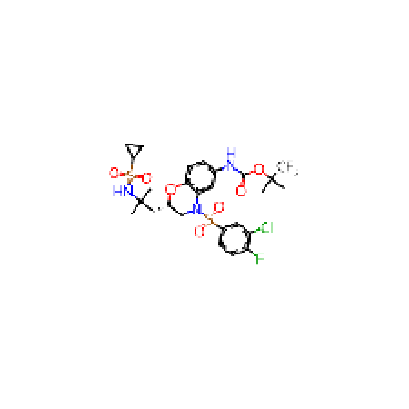 CC(C)(C[C@H]1CN(S(=O)(=O)c2ccc(F)c(Cl)c2)c2cc(NC(=O)OC(C)(C)C(F)(F)F)ccc2O1)NS(=O)(=O)C1CC1